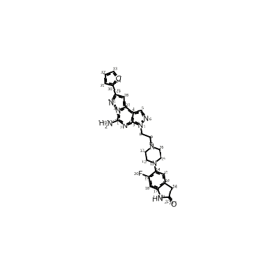 Nc1nc2c(cnn2CCN2CCN(c3cc4c(cc3F)NC(=O)C4)CC2)c2cc(-c3ccco3)nn12